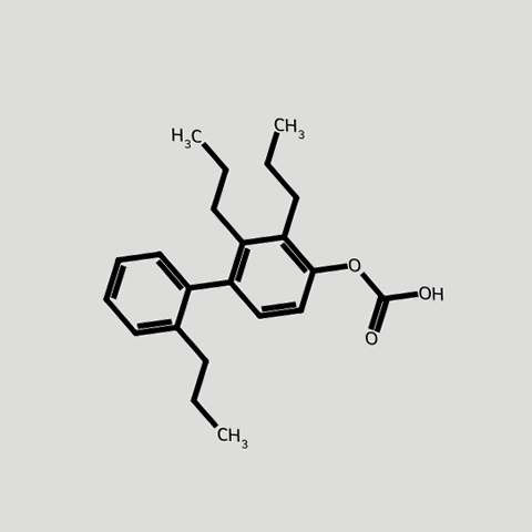 CCCc1ccccc1-c1ccc(OC(=O)O)c(CCC)c1CCC